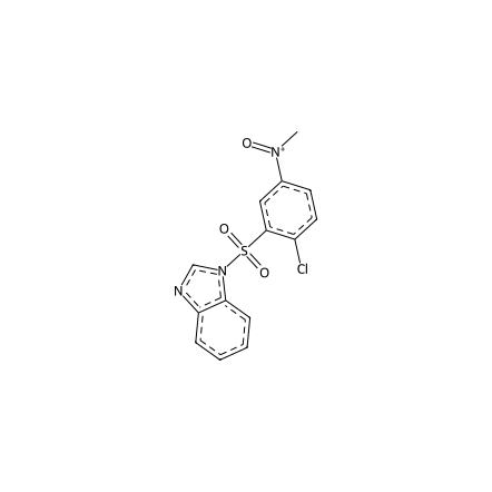 C[N+](=O)c1ccc(Cl)c(S(=O)(=O)n2cnc3ccccc32)c1